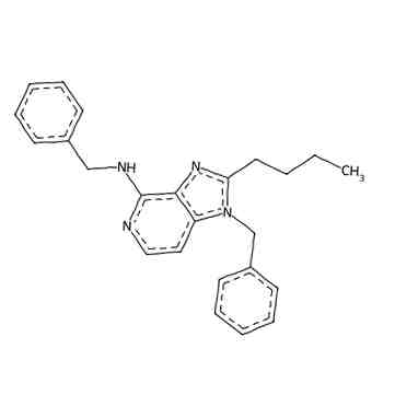 CCCCc1nc2c(NCc3ccccc3)nccc2n1Cc1ccccc1